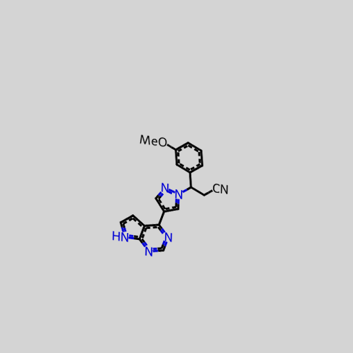 COc1cccc(C(CC#N)n2cc(-c3ncnc4[nH]ccc34)cn2)c1